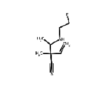 C=CC(C)(C#N)C(C)NCCF